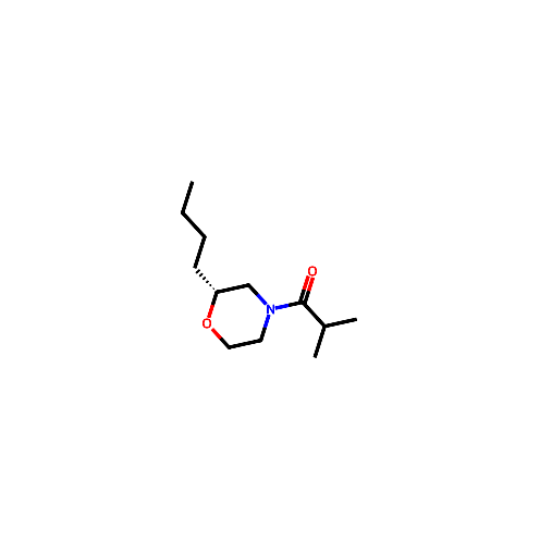 CCCC[C@@H]1CN(C(=O)C(C)C)CCO1